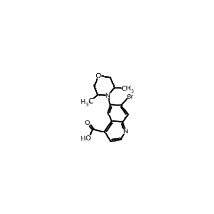 CC1COCC(C)N1c1cc2c(C(=O)O)ccnc2cc1Br